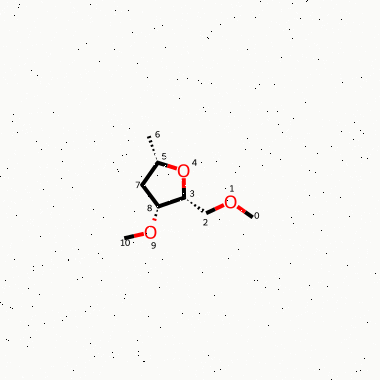 COC[C@H]1O[C@@H](C)C[C@H]1OC